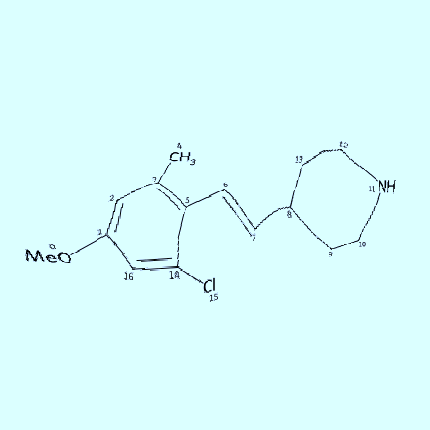 COc1cc(C)c(/C=C/C2CCNCC2)c(Cl)c1